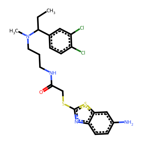 CCC(c1ccc(Cl)c(Cl)c1)N(C)CCCNC(=O)CSc1nc2ccc(N)cc2s1